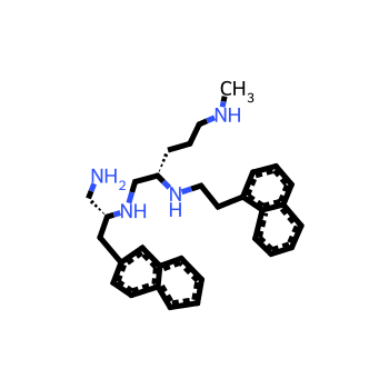 CNCCC[C@@H](CN[C@@H](CN)Cc1ccc2ccccc2c1)NCCc1cccc2ccccc12